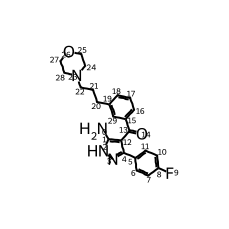 Nc1[nH]nc(-c2ccc(F)cc2)c1C(=O)c1cccc(CCCN2CCOCC2)c1